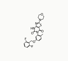 Cc1ccc(OCc2c(F)cccc2F)cc1-n1c(=O)[nH]c2nc(N3CCOCC3)sc2c1=O